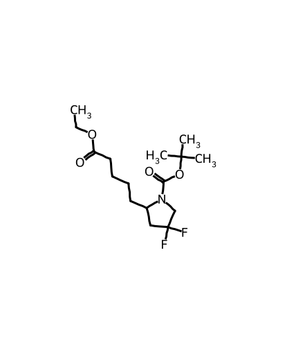 CCOC(=O)CCCCC1CC(F)(F)CN1C(=O)OC(C)(C)C